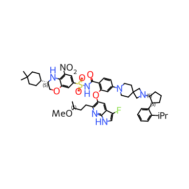 CO[C@@H](C)CCc1nc2[nH]cc(F)c2cc1Oc1cc(N2CCC3(CC2)CN([C@H]2CCC[C@H]2c2ccccc2C(C)C)C3)ccc1C(=O)NS(=O)(=O)c1cc2c(c([N+](=O)[O-])c1)N[C@@H](C1CCC(C)(C)CC1)CO2